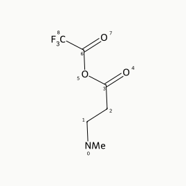 CNCCC(=O)OC(=O)C(F)(F)F